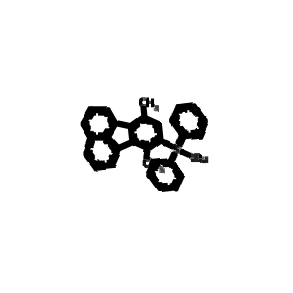 Cc1cc([Si](c2ccccc2)(c2ccccc2)C(C)(C)C)c(C)c2c1-c1cccc3cccc-2c13